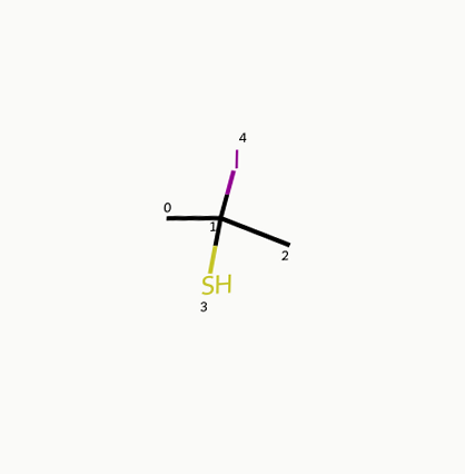 CC(C)(S)I